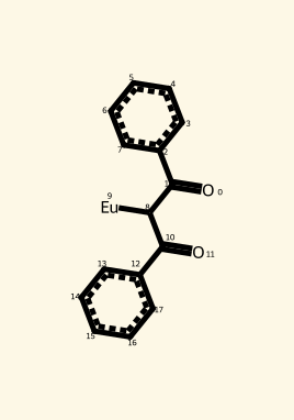 O=C(c1ccccc1)[CH]([Eu])C(=O)c1ccccc1